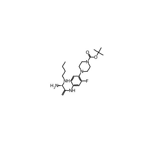 C=C(Nc1ccc(N2CCN(C(=O)OC(C)(C)C)CC2)c(F)c1)[C@@H](N)NCCCC